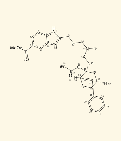 COC(=O)c1ccc2[nH]c(CCCN(C)CC[C@]3(OC(=O)C(C)C)C[C@H]4CC[C@@H]3C=C4c3ccccc3)nc2c1